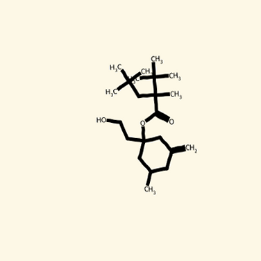 C=C1CC(C)CC(CCO)(OC(=O)C(C)(CC(C)(C)C)C(C)(C)C)C1